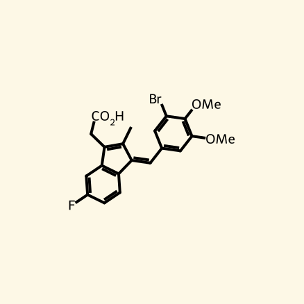 COc1cc(/C=C2\C(C)=C(CC(=O)O)c3cc(F)ccc32)cc(Br)c1OC